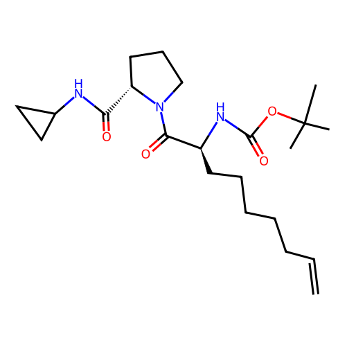 C=CCCCCC[C@H](NC(=O)OC(C)(C)C)C(=O)N1CCC[C@H]1C(=O)NC1CC1